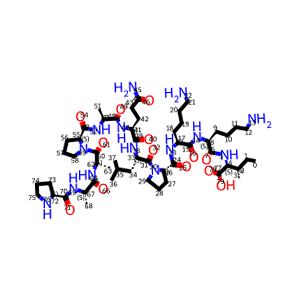 CC[C@H](C)[C@H](NC(=O)[C@H](CCCCN)NC(=O)[C@H](CCCCN)NC(=O)[C@@H]1CCCN1C(=O)[C@H](CC(C)C)NC(=O)[C@H](CCC(N)=O)NC(=O)[C@H](C)NC(=O)[C@@H]1CCCN1C(=O)[C@H](C)NC(=O)[C@H](C)NC(=O)[C@@H]1CCCN1)C(=O)O